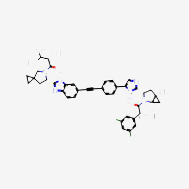 CC(C)[C@H](C)C(=O)N1CC2(CC2)C[C@H]1c1nc2ccc(C#Cc3ccc(-c4cnc([C@@H]5C[C@H]6C[C@H]6N5C(=O)[C@H](C)c5cc(F)cc(F)c5)[nH]4)cc3)cc2[nH]1